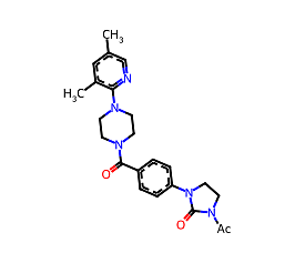 CC(=O)N1CCN(c2ccc(C(=O)N3CCN(c4ncc(C)cc4C)CC3)cc2)C1=O